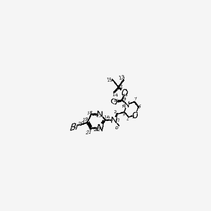 CN(CC1COCCN1C(=O)OC(C)(C)C)c1ncc(Br)cn1